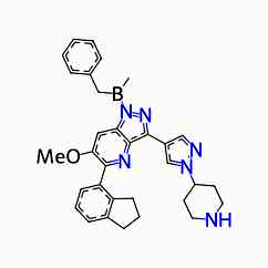 COc1cc2c(nc1-c1cccc3c1CCC3)c(-c1cnn(C3CCNCC3)c1)nn2B(C)Cc1ccccc1